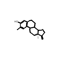 C=C1CCC2C3CCc4cc(O)c(C)cc4C3CC[C@]12C